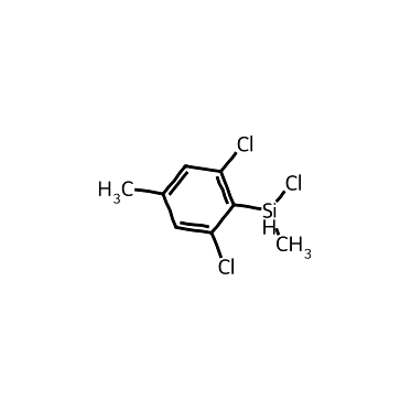 Cc1cc(Cl)c([SiH](C)Cl)c(Cl)c1